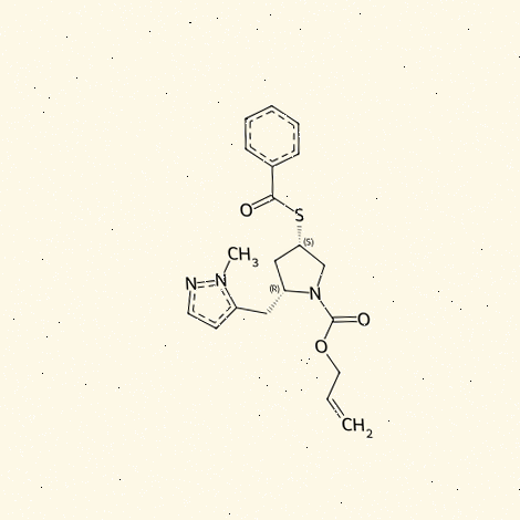 C=CCOC(=O)N1C[C@@H](SC(=O)c2ccccc2)C[C@H]1Cc1ccnn1C